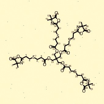 CC1(C)N=C(CCSCCC(=O)OCC(COC(=O)CCSCCC2=NC(C)(C)C(=O)O2)(COC(=O)CCSCCC2=NC(C)(C)C(=O)O2)COC(=O)CCSCCC2=NC(C)(C)C(=O)O2)OC1=O